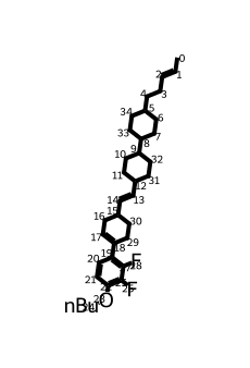 C/C=C/CCC1CCC(C2CCC(/C=C/C3CC=C(c4ccc(OCCCC)c(F)c4F)CC3)CC2)CC1